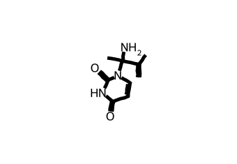 C=C(C)C(C)(N)n1ccc(=O)[nH]c1=O